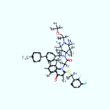 [2H]c1c(C)c([2H])c2c(=O)c([2H])c(SC([2H])([2H])c3cccc(F)c3F)n(C([2H])([2H])C(=O)N(C([2H])([2H])c3ccc(-c4ccc(C(F)(F)F)cc4)cc3)C3([2H])C([2H])([2H])C([2H])([2H])N(C([2H])([2H])COC([2H])([2H])[2H])C([2H])([2H])C3([2H])[2H])c2c1[2H]